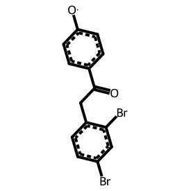 [O]c1ccc(C(=O)Cc2ccc(Br)cc2Br)cc1